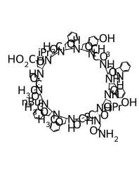 CCCC[C@H]1C(=O)N(C)CC(=O)N[C@@H](CCC(=O)O)C(=O)N[C@@H](C(C)C)C(=O)N(C)[C@@H](Cc2ccccc2)C(=O)NC(Cc2ccc(O)cc2)C(=O)N(C)CC(=O)N[C@@H](Cc2c[nH]c3ccccc23)C(=O)N[C@@H](Cc2ccc(O)cc2)C(=O)N[C@@H](CC(C)C)C(=O)N[C@H](C(=O)NCC(N)=O)CSCC(=O)N[C@@H](Cc2ccccc2)C(=O)N(C)[C@@H](Cc2ccccc2)C(=O)N1C